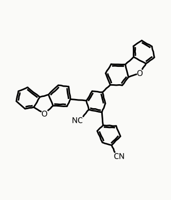 N#Cc1ccc(-c2cc(-c3ccc4c(c3)oc3ccccc34)cc(-c3ccc4c(c3)oc3ccccc34)c2C#N)cc1